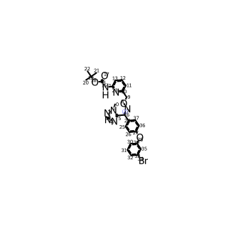 Cn1nnnc1/C(=N\OCc1cccc(NC(=O)OC(C)(C)C)n1)c1ccc(Oc2cccc(Br)c2)cc1